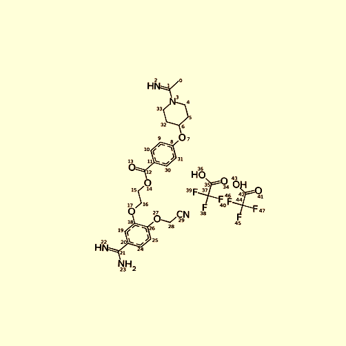 CC(=N)N1CCC(Oc2ccc(C(=O)OCCOc3cc(C(=N)N)ccc3OCC#N)cc2)CC1.O=C(O)C(F)(F)F.O=C(O)C(F)(F)F